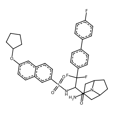 NC1CC2CCC(C1)N2C(=O)C(NS(=O)(=O)c1ccc2cc(OC3CCCC3)ccc2c1)C(F)(F)c1ccc(-c2ccc(F)cc2)cc1